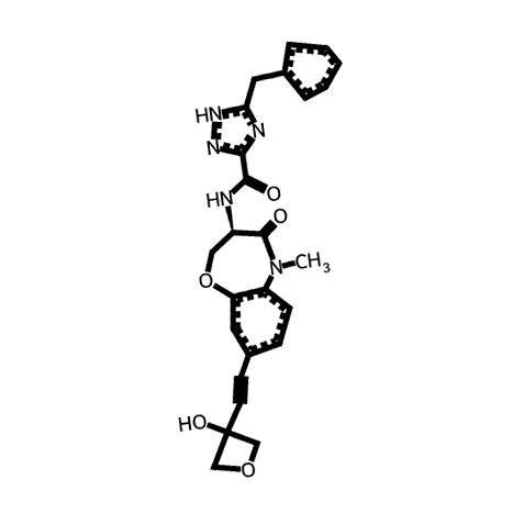 CN1C(=O)[C@H](NC(=O)c2n[nH]c(Cc3ccccc3)n2)COc2cc(C#CC3(O)COC3)ccc21